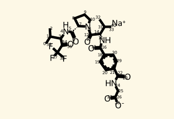 CC(C)C(NC(=O)[C@@H]1CCCN1C(=O)[C@@H](NC(=O)c1ccc(C(=O)NCC(=O)[O-])cc1)C(C)C)C(=O)C(F)(F)F.[Na+]